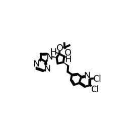 CC1(C)O[C@@H]2[C@@H](CCc3ccc4cc(Cl)c(Cl)nc4c3)C[C@@H](n3ccc4nccnc43)[C@@H]2O1